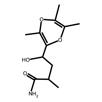 CC1=C(C)OC(C(O)CC(C)C(N)=O)=C(C)O1